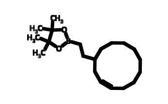 CC1(C)OB(CCC2C/C=C\CCCCCCCC2)OC1(C)C